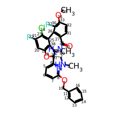 CNC[C@]1(c2cccc(OCc3ccccc3)n2)Oc2cc(F)c(Cl)c(-c3c(C(N)=O)ccc(OC)c3F)c2[C@@H]1C